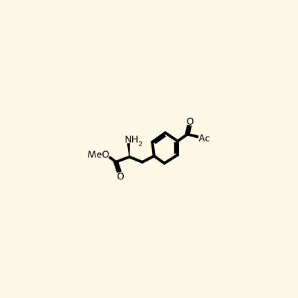 COC(=O)[C@@H](N)CC1C=CC(C(=O)C(C)=O)=CC1